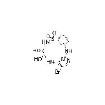 O=S1(=O)NCC(O)C(O)CNc2nc(ncc2Br)Nc2cccc1c2